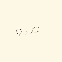 CC(C)(C)C1=CC(=CN=Nc2cc(Cl)ccc2Cl)C=C(C(C)(C)C)C1=O